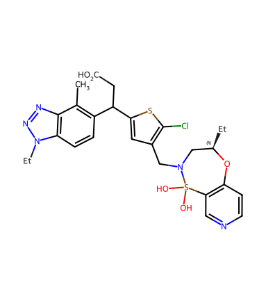 CC[C@@H]1CN(Cc2cc(C(CC(=O)O)c3ccc4c(nnn4CC)c3C)sc2Cl)S(O)(O)c2cnccc2O1